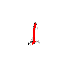 [CH2]c1ccc(NC(=O)[C@H](CCCCN)NC(=O)COCC(=O)NCCOCCOCCOCCOCCOCCOCCOCCOCCn2cc(CNC(=O)CCCC#Cc3cnc(C[SH](=O)=O)nc3)nn2)cc1